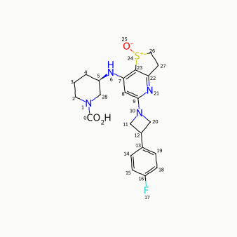 O=C(O)N1CCC[C@@H](Nc2cc(N3CC(c4ccc(F)cc4)C3)nc3c2[S+]([O-])CC3)C1